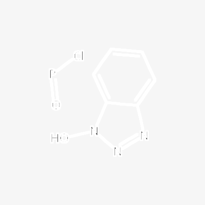 O=PCl.On1nnc2ccccc21